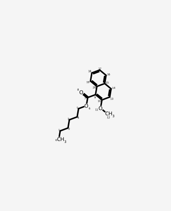 CCCCCCOC(=O)c1c(OC)ccc2ccccc12